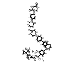 Cc1cc(-c2ncnc3[nH]c(-c4ccc(N5CCN(CC6CCN(c7ccc(N8CCC(=O)NC8=O)cc7)CC6)CC5)cn4)cc23)ccc1[C@@H](C)NC(=O)c1noc(C2(C(F)(F)F)CC2)n1